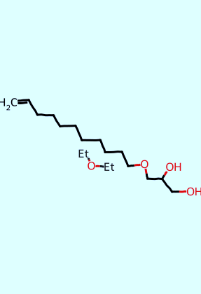 C=CCCCCCCCCCOCC(O)CO.CCOCC